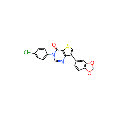 O=c1c2scc(-c3ccc4c(c3)OCO4)c2ncn1-c1ccc(Cl)cc1